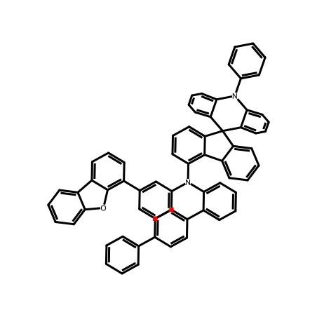 c1ccc(-c2ccc(-c3ccccc3N(c3cccc(-c4cccc5c4oc4ccccc45)c3)c3cccc4c3-c3ccccc3C43c4ccccc4N(c4ccccc4)c4ccccc43)cc2)cc1